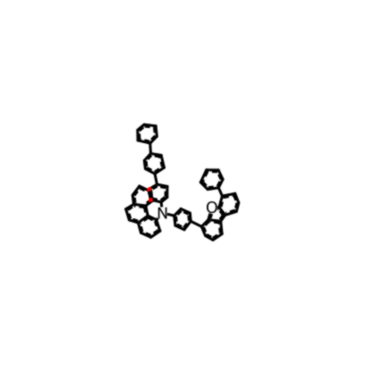 c1ccc(-c2ccc(-c3ccc(N(c4ccc(-c5cccc6c5oc5c(-c7ccccc7)cccc56)cc4)c4cccc5ccc6ccccc6c45)cc3)cc2)cc1